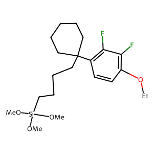 CCOc1ccc(C2(CCCC[Si](OC)(OC)OC)CCCCC2)c(F)c1F